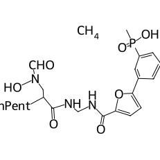 C.CCCCCC(CN(O)C=O)C(=O)NCNC(=O)c1ccc(-c2cccc(P(C)(=O)O)c2)o1